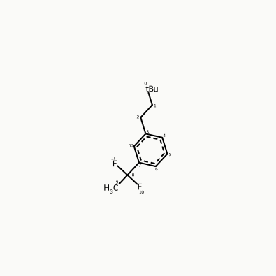 CC(C)(C)CCc1cccc(C(C)(F)F)c1